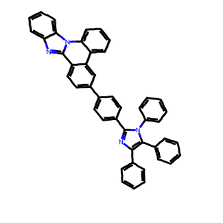 c1ccc(-c2nc(-c3ccc(-c4ccc5c(c4)c4ccccc4n4c6ccccc6nc54)cc3)n(-c3ccccc3)c2-c2ccccc2)cc1